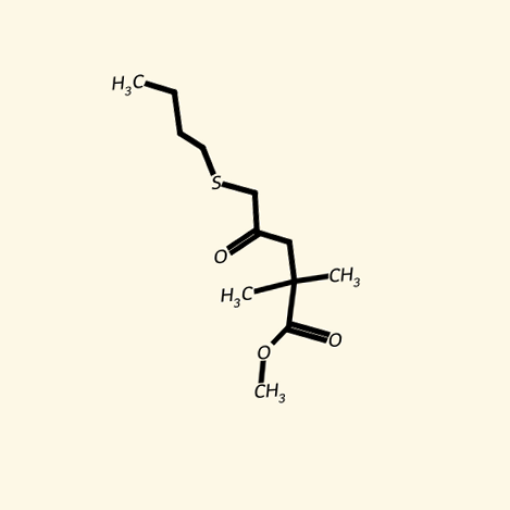 CCCCSCC(=O)CC(C)(C)C(=O)OC